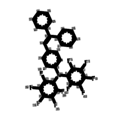 Fc1c(F)c(F)c(N(c2ccc(C=C(c3ccccc3)c3ccccc3)cc2)c2c(F)c(F)c(F)c(F)c2F)c(F)c1F